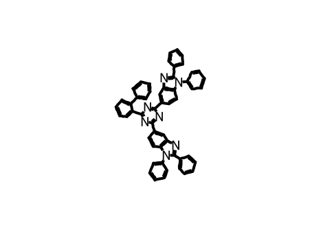 c1ccc(-c2ccccc2-c2nc(-c3ccc4c(c3)nc(-c3ccccc3)n4-c3ccccc3)nc(-c3ccc4c(c3)nc(-c3ccccc3)n4-c3ccccc3)n2)cc1